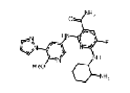 COc1ncc(Nc2nc(NC3CCCCC3N)c(F)cc2C(N)=O)cc1-n1cccn1